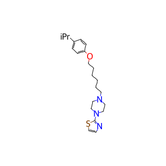 CC(C)c1ccc(OCCCCCCN2CCN(c3nccs3)CC2)cc1